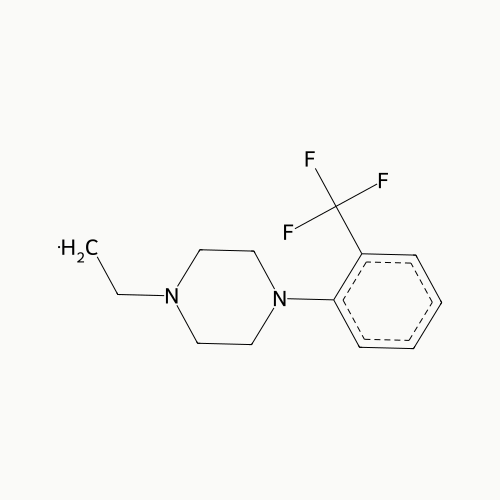 [CH2]CN1CCN(c2ccccc2C(F)(F)F)CC1